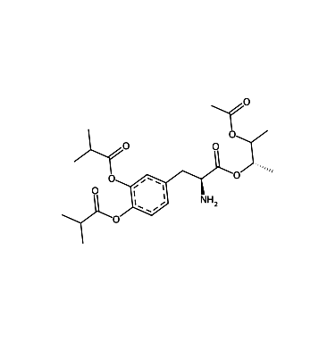 CC(=O)OC(C)[C@H](C)OC(=O)[C@@H](N)Cc1ccc(OC(=O)C(C)C)c(OC(=O)C(C)C)c1